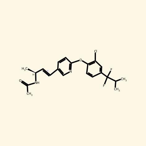 CC(=O)N[C@@H](C)/C=C/c1ccc(Oc2ccc(C(F)(F)C(C)C)cc2Cl)nc1